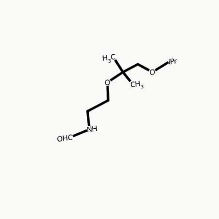 CC(C)OCC(C)(C)OCCNC=O